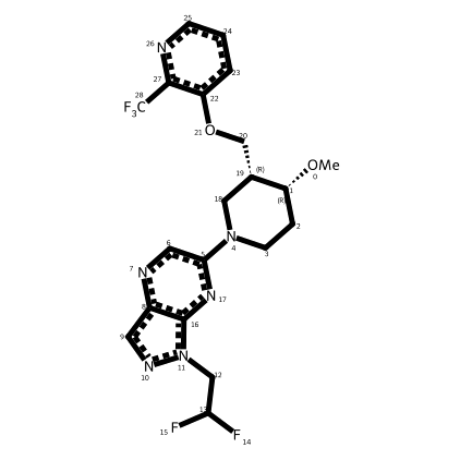 CO[C@@H]1CCN(c2cnc3cnn(CC(F)F)c3n2)C[C@@H]1COc1cccnc1C(F)(F)F